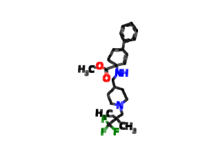 COC(=O)C1(NCC2CCN(CC(C)(C)C(F)(F)F)CC2)C=CC(c2ccccc2)=CC1